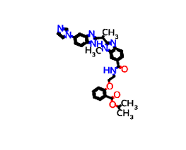 CC(C)OC(=O)c1ccccc1OCCNC(=O)c1ccc2nc(C(C)c3nc4cc(-n5ccnc5)ccc4[nH]3)n(C)c2c1